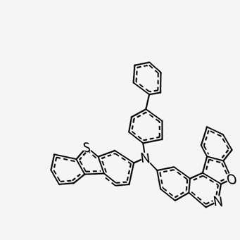 c1ccc(-c2ccc(N(c3ccc4c(c3)sc3ccccc34)c3ccc4cnc5oc6ccccc6c5c4c3)cc2)cc1